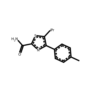 Cc1ccc(-c2nc(C(N)=O)sc2C(C)C)cc1